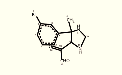 CC1(c2cccc(Br)c2)NCNC1C(=O)C=O